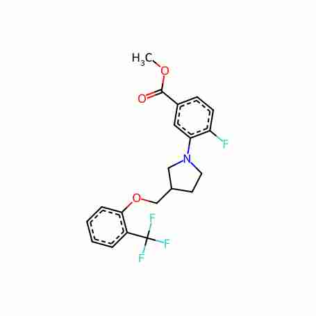 COC(=O)c1ccc(F)c(N2CCC(COc3ccccc3C(F)(F)F)C2)c1